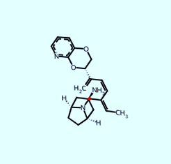 C=C(/C=C\C(=C/C)CN1[C@@H]2CC[C@H]1C[C@@H](N)C2)[C@H]1COc2cccnc2O1